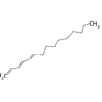 C=CC=CC=CCCCCCCCCC